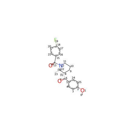 COc1ccc(C(=O)[C@H]2CCCN(C(=O)c3ccc(F)cc3)[C@H]2C)cc1